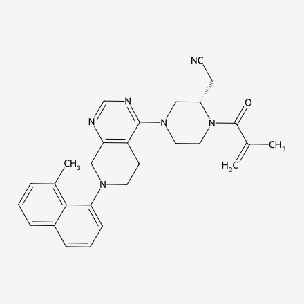 C=C(C)C(=O)N1CCN(c2ncnc3c2CCN(c2cccc4cccc(C)c24)C3)C[C@@H]1CC#N